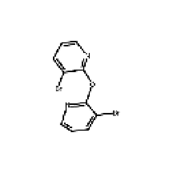 Brc1cccnc1Oc1ncccc1Br